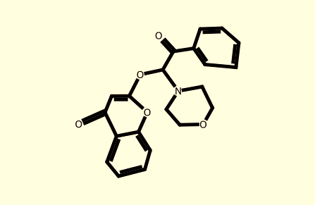 O=C(c1ccccc1)C(Oc1cc(=O)c2ccccc2o1)N1CCOCC1